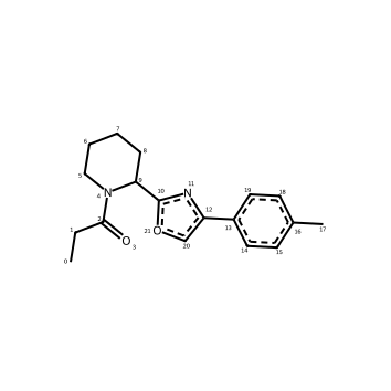 CCC(=O)N1CCCCC1c1nc(-c2ccc(C)cc2)co1